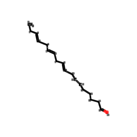 CCC=CCC=CC/C=C/CCCCCCCC=O